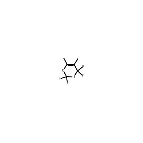 CC1=C(C)C(F)(F)OC(F)(F)O1